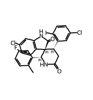 Cc1ccc(F)cc1[C@H]1NC(=O)C[C@@H](c2cc(Cl)ccc2I)[C@]12C(=O)Nc1cc(Cl)ccc12